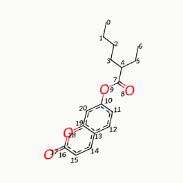 CCCCC(CC)C(=O)Oc1ccc2ccc(=O)oc2c1